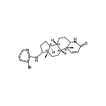 C[C@]12C=CC(=O)NC1CC[C@@H]1[C@H]2CC[C@]2(C)C(Nc3ncccc3Br)CC[C@@H]12